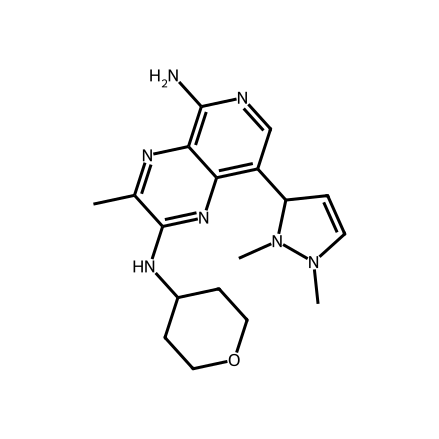 Cc1nc2c(N)ncc(C3C=CN(C)N3C)c2nc1NC1CCOCC1